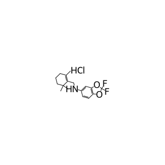 CC1=C(CNc2ccc3c(c2)OC(F)(F)O3)C(C)(C)CCC1.Cl